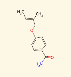 CC=C(C)COc1ccc(C(N)=O)cc1